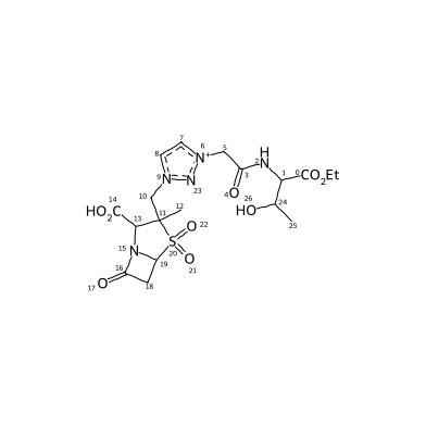 CCOC(=O)C(NC(=O)C[n+]1ccn(CC2(C)C(C(=O)O)N3C(=O)CC3S2(=O)=O)n1)C(C)O